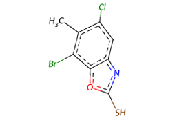 Cc1c(Cl)cc2nc(S)oc2c1Br